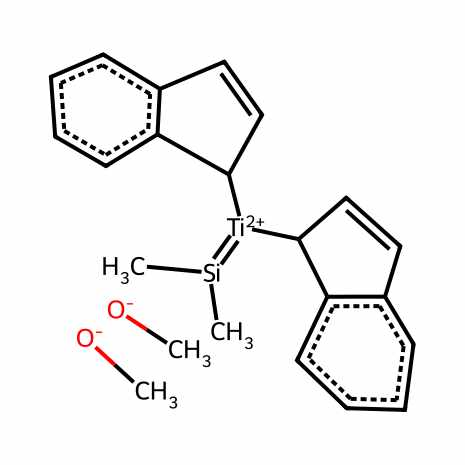 C[O-].C[O-].C[Si](C)=[Ti+2]([CH]1C=Cc2ccccc21)[CH]1C=Cc2ccccc21